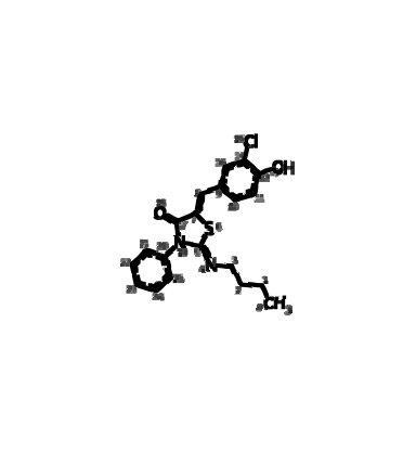 CCCC/N=C1\S/C(=C\c2ccc(O)c(Cl)c2)C(=O)N1c1ccccc1